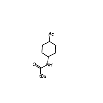 CC(=O)C1CCC(NC(=O)C(C)(C)C)CC1